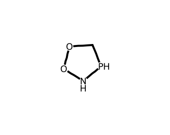 C1OONP1